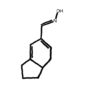 ON=CC1=CCC2CCCC2=C1